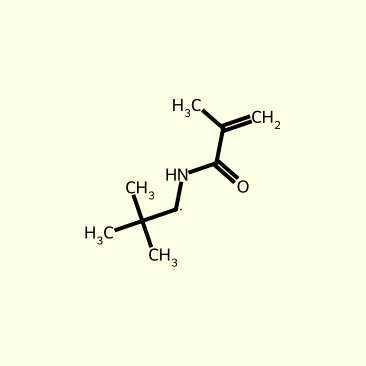 C=C(C)C(=O)N[CH]C(C)(C)C